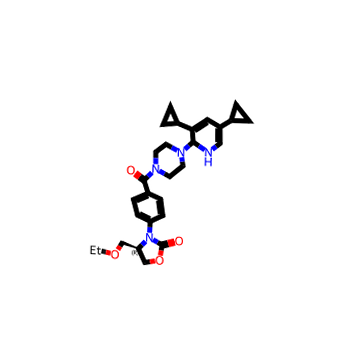 CCOC[C@@H]1COC(=O)N1c1ccc(C(=O)N2CCN(C3NC=C(C4CC4)C=C3C3CC3)CC2)cc1